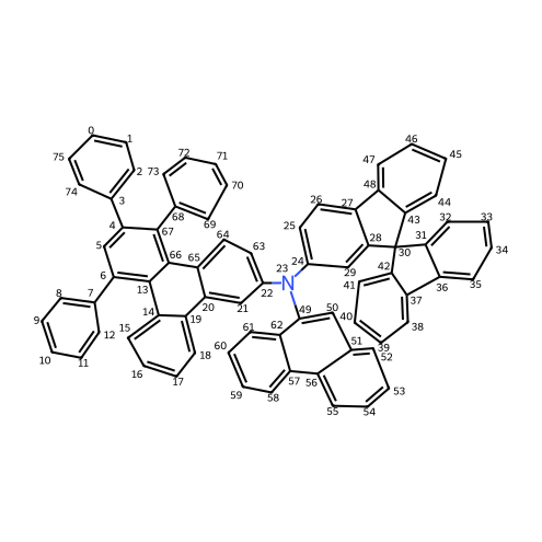 c1ccc(-c2cc(-c3ccccc3)c3c4ccccc4c4cc(N(c5ccc6c(c5)C5(c7ccccc7-c7ccccc75)c5ccccc5-6)c5cc6ccccc6c6ccccc56)ccc4c3c2-c2ccccc2)cc1